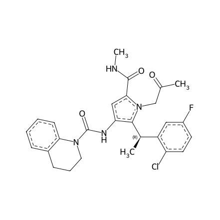 CNC(=O)c1cc(NC(=O)N2CCCc3ccccc32)c([C@H](C)c2cc(F)ccc2Cl)n1CC(C)=O